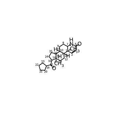 C[C@]12C=CC(=O)NC1CC[C@@H]1[C@H]2CC[C@]2(C)C(C(=O)C3CCCC3)CC[C@@H]12